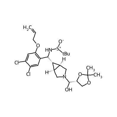 C=CCOc1cc(Cl)c(Cl)cc1C(N[S+]([O-])C(C)(C)C)[C@H]1[C@@H]2CN(C(O)[C@H]3COC(C)(C)O3)C[C@@H]21